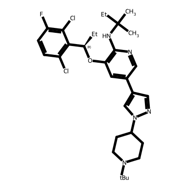 CC[C@@H](Oc1cc(-c2cnn(C3CCN(C(C)(C)C)CC3)c2)cnc1NC(C)(C)CC)c1c(Cl)ccc(F)c1Cl